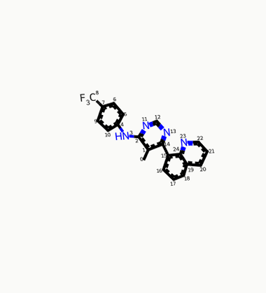 Cc1c(Nc2ccc(C(F)(F)F)cc2)ncnc1-c1cccc2cccnc12